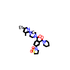 CCc1cnc(N2CCN(C(=O)c3ccc(N4CCCS4(=O)=O)cc3C(=O)N3CCCCC3)CC2)c(C)c1